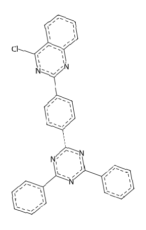 Clc1nc(-c2ccc(-c3nc(-c4ccccc4)nc(-c4ccccc4)n3)cc2)nc2ccccc12